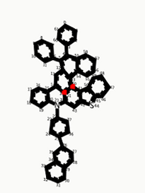 c1ccc(-c2c(-c3ccccc3)c3cc(-c4ccccc4N(c4ccc(-c5ccc6ccccc6c5)cc4)c4ccc5c(c4)sc4ccccc45)ccc3c3ccccc23)cc1